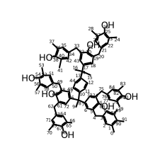 Cc1cc(Cc2cc(C(C)(c3ccc(C(C)(C)c4cc(Cc5cc(C)c(O)c(C)c5)c(O)c(Cc5cc(C)c(O)c(C)c5)c4)cc3)c3cc(Cc4cc(C)c(O)c(C)c4)c(O)c(Cc4cc(C)c(O)c(C)c4)c3)cc(Cc3cc(C)c(O)c(C)c3)c2O)cc(C)c1C